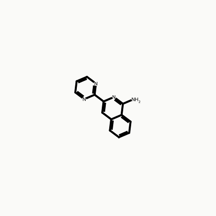 Nc1nc(-c2ncccn2)cc2c[c]ccc12